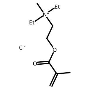 C=C(C)C(=O)OCC[N+](C)(CC)CC.[Cl-]